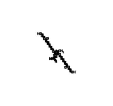 Cc1cc(OCCCCCCCCC(=O)OCCCO)c2c(c1OCCCCCCCCC(=O)OCCCO)SC(=C(C#N)C#N)S2